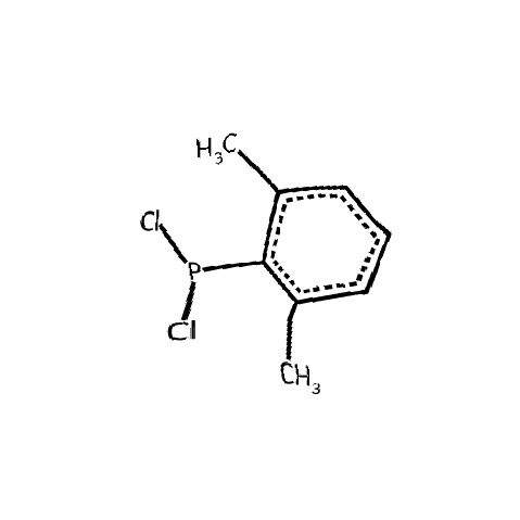 Cc1cccc(C)c1P(Cl)Cl